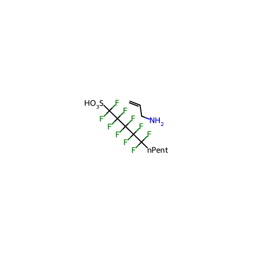 C=CCN.CCCCCC(F)(F)C(F)(F)C(F)(F)C(F)(F)C(F)(F)S(=O)(=O)O